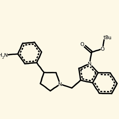 CC(C)(C)OC(=O)n1cc(CN2CCC(c3cccc(N)c3)C2)c2ccccc21